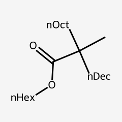 CCCCCCCCCCC(C)(CCCCCCCC)C(=O)OCCCCCC